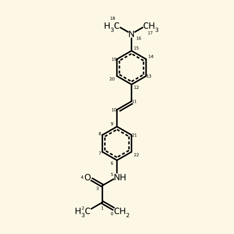 C=C(C)C(=O)Nc1ccc(C=Cc2ccc(N(C)C)cc2)cc1